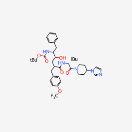 CC[C@H](C)[C@H](NC(=O)C(Cc1ccc(OC(F)(F)F)cc1)CC(O)C(Cc1ccccc1)NC(=O)OC(C)(C)C)C(=O)N1CCC(n2ccnc2)CC1